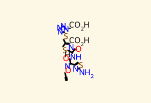 C#CCO/N=C(/C(=O)NC1C(=O)N2C(C(=O)O)=C(CSc3nnnn3CC(=O)O)CS[C@H]12)c1csc(N)n1